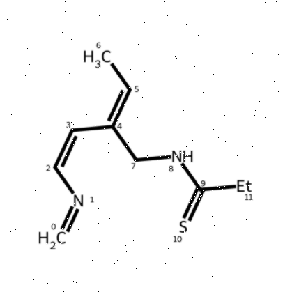 C=N/C=C\C(=C/C)CNC(=S)CC